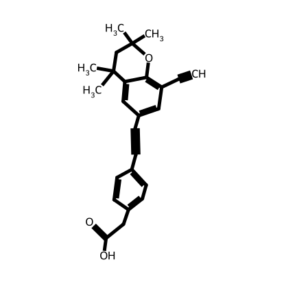 C#Cc1cc(C#Cc2ccc(CC(=O)O)cc2)cc2c1OC(C)(C)CC2(C)C